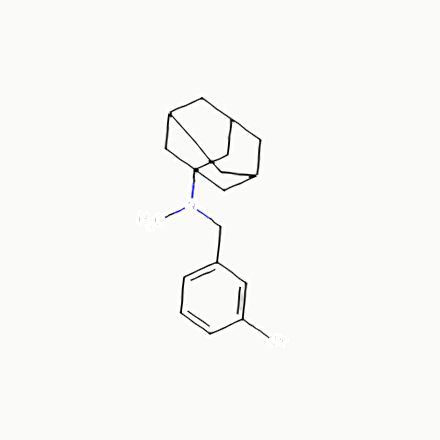 CC(C)c1cccc(CN(C)C23CC4CC(CC(C4)C2)C3)c1